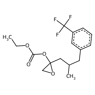 CCOC(=O)OC1(CC(C)Cc2cccc(C(F)(F)F)c2)CO1